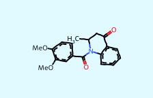 COc1ccc(C(=O)N2c3ccccc3C(=O)CC2C)cc1OC